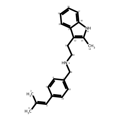 CC(C)=Cc1ccc(CNCCc2c(C)[nH]c3ccccc23)cc1